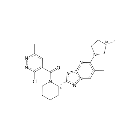 Cc1cc(C(=O)N2CCCC[C@H]2c2cc3nc(N4CC[C@H](C)C4)c(C)cn3n2)c(Cl)nn1